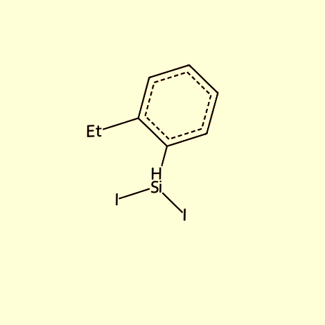 CCc1ccccc1[SiH](I)I